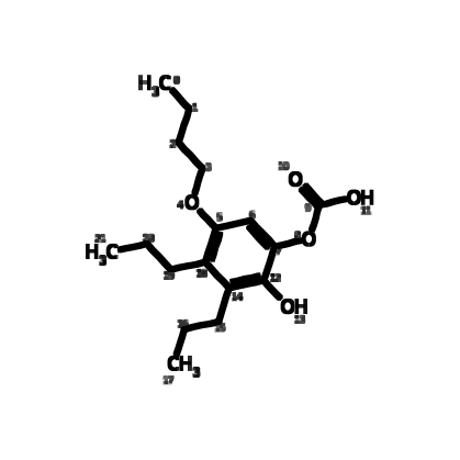 CCCCOc1cc(OC(=O)O)c(O)c(CCC)c1CCC